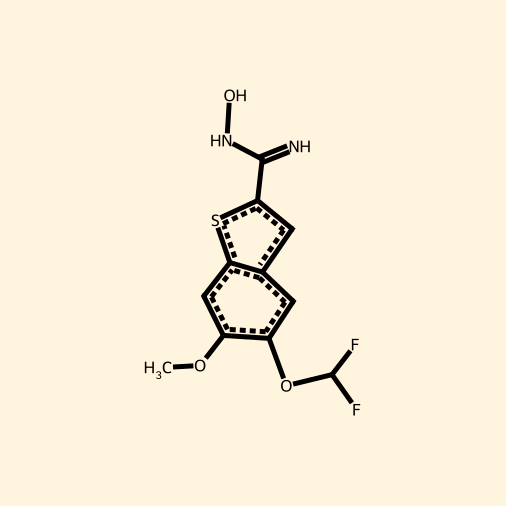 COc1cc2sc(C(=N)NO)cc2cc1OC(F)F